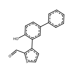 O=Cc1sccc1-c1cc(-c2ccccc2)ccc1O